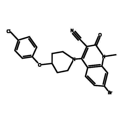 Cn1c(=O)c(C#N)c(N2CCC(Oc3ccc(Cl)cc3)CC2)c2ccc(Br)cc21